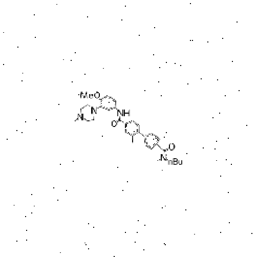 CCCCN(C)C(=O)c1ccc(-c2ccc(C(=O)Nc3ccc(OC)c(N4CCN(C)CC4)c3)cc2C)cc1